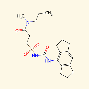 CCCN(C)C(=O)CCS(=O)(=O)NC(=O)Nc1c2c(cc3c1CCC3)CCC2